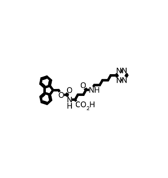 O=C(CCC(NC(=O)OCC1c2ccccc2-c2ccccc21)C(=O)O)NCCCCCc1nncnn1